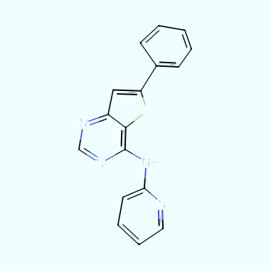 c1ccc(-c2cc3ncnc(Nc4ccccn4)c3s2)cc1